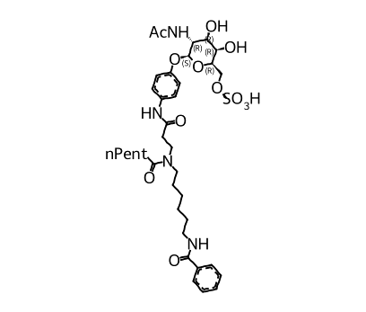 CCCCCC(=O)N(CCCCCCNC(=O)c1ccccc1)CCC(=O)Nc1ccc(O[C@@H]2O[C@H](COS(=O)(=O)O)[C@H](O)[C@H](O)[C@H]2NC(C)=O)cc1